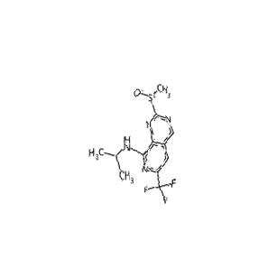 CC(C)Nc1nc(C(F)(F)F)cc2cnc([S+](C)[O-])nc12